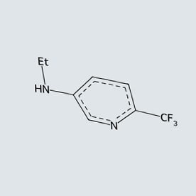 CCNc1ccc(C(F)(F)F)nc1